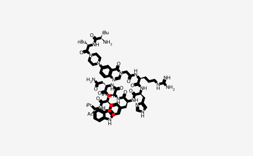 CCCC[C@H](NC(=O)[C@@H](N)[C@@H](C)CC)C(=O)N1CCN(c2ccc3ncn(CC(=O)N[C@@H](CCCNC(=N)N)C(=O)N[C@@H](Cc4c[nH]cn4)C(=O)N[C@@H](Cc4ccc(O)cc4)C(=O)N[C@@H](CC(C)C)C(=O)N[C@@H](CC(N)=O)C(=O)N[C@@H](Cc4c[nH]c5ccccc45)C(=O)N[C@H](C(C)=O)C(C)C)c(=O)c3c2)CC1